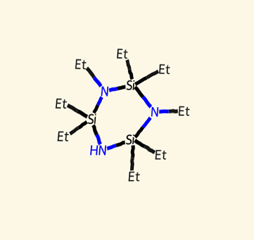 CCN1[Si](CC)(CC)N[Si](CC)(CC)N(CC)[Si]1(CC)CC